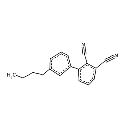 CCCCc1cccc(-c2cccc(C#N)c2C#N)c1